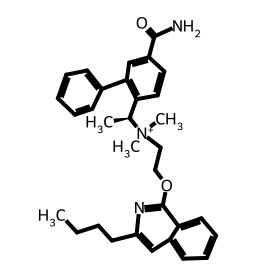 CCCCc1cc2ccccc2c(OCC[N+](C)(C)[C@@H](C)c2ccc(C(N)=O)cc2-c2ccccc2)n1